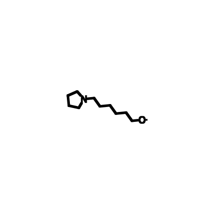 [O]CCCCCCN1CCCC1